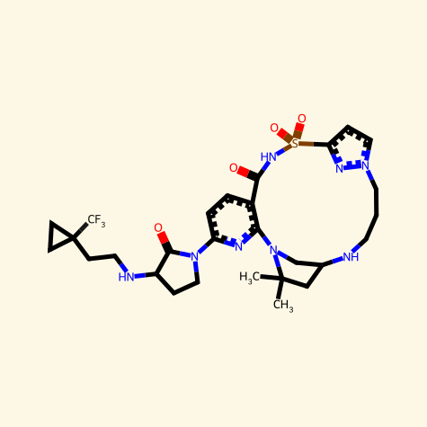 CC1(C)CC2CN1c1nc(N3CCC(NCCC4(C(F)(F)F)CC4)C3=O)ccc1C(=O)NS(=O)(=O)c1ccn(n1)CCCN2